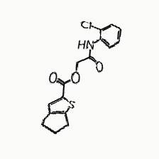 O=C(COC(=O)c1cc2c(s1)CCC2)Nc1ccccc1Cl